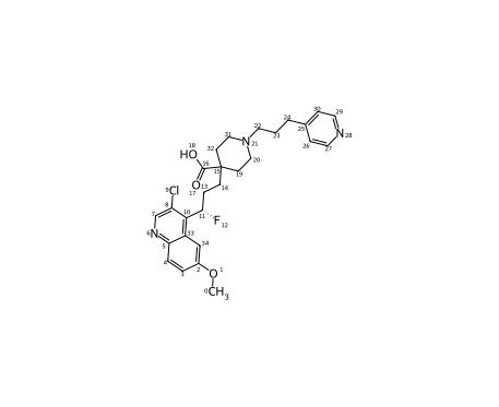 COc1ccc2ncc(Cl)c([C@@H](F)CCC3(C(=O)O)CCN(CCCc4ccncc4)CC3)c2c1